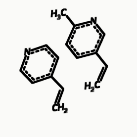 C=Cc1ccc(C)nc1.C=Cc1ccncc1